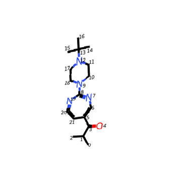 CC(C)C(=O)C1=CN=C(N2CCN(C(C)(C)C)CC2)N=C=C1